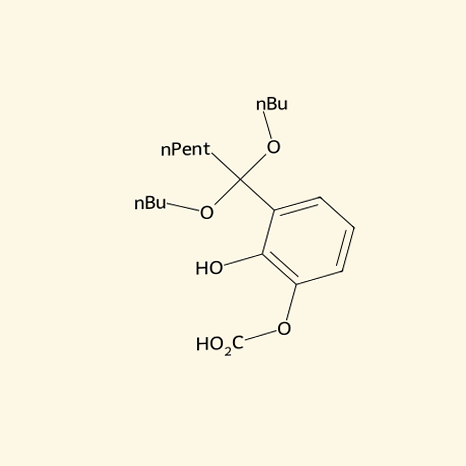 CCCCCC(OCCCC)(OCCCC)c1cccc(OC(=O)O)c1O